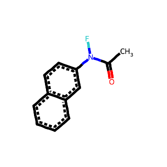 CC(=O)N(F)c1ccc2ccccc2c1